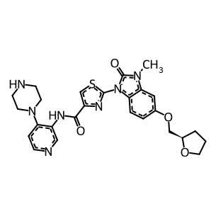 Cn1c(=O)n(-c2nc(C(=O)Nc3cnccc3N3CCNCC3)cs2)c2ccc(OC[C@H]3CCCO3)cc21